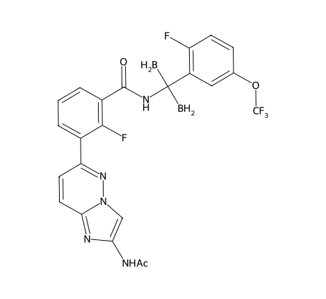 BC(B)(NC(=O)c1cccc(-c2ccc3nc(NC(C)=O)cn3n2)c1F)c1cc(OC(F)(F)F)ccc1F